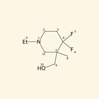 CCN1CCC(F)(F)C(C)(CO)C1